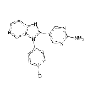 Nc1ncc(-c2nc3ccncc3n2-c2ccc(Cl)cc2)cn1